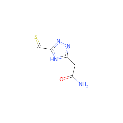 NC(=O)Cc1nnc([C]=S)[nH]1